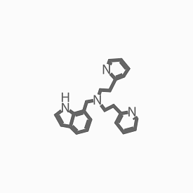 c1ccc(CCN(CCc2ccccn2)Cc2cccc3cc[nH]c23)nc1